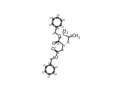 CC(C)C[C@H](CC(=O)OCc1ccccc1)C(=O)OCc1ccccc1